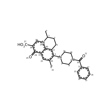 CC1CCc2c(N3CCN(C(=O)c4ccccc4)CC3)c(F)cc3c(=O)c(C(=O)O)cn1c23